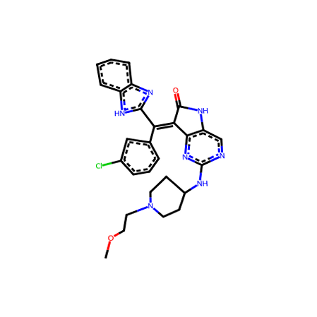 COCCN1CCC(Nc2ncc3c(n2)/C(=C(\c2cccc(Cl)c2)c2nc4ccccc4[nH]2)C(=O)N3)CC1